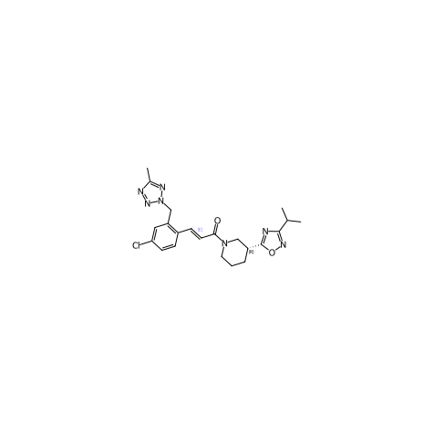 Cc1nnn(Cc2cc(Cl)ccc2/C=C/C(=O)N2CCC[C@@H](c3nc(C(C)C)no3)C2)n1